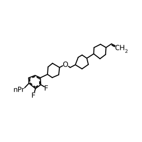 C=CC1CCC(C2CCC(COC3CCC(c4ccc(CCC)c(F)c4F)CC3)CC2)CC1